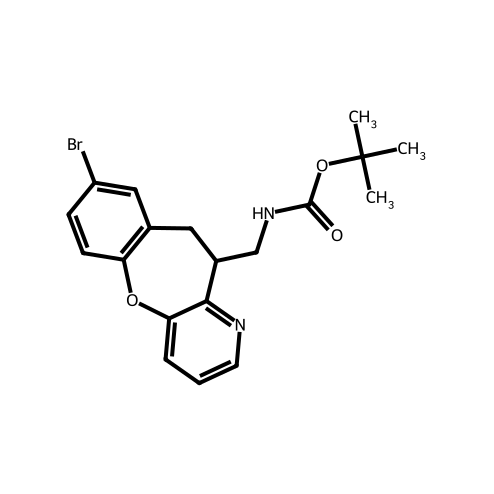 CC(C)(C)OC(=O)NCC1Cc2cc(Br)ccc2Oc2cccnc21